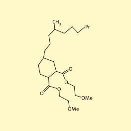 COCCOC(=O)C1CCC(CCCC(C)CCCC(C)C)CC1C(=O)OCCOC